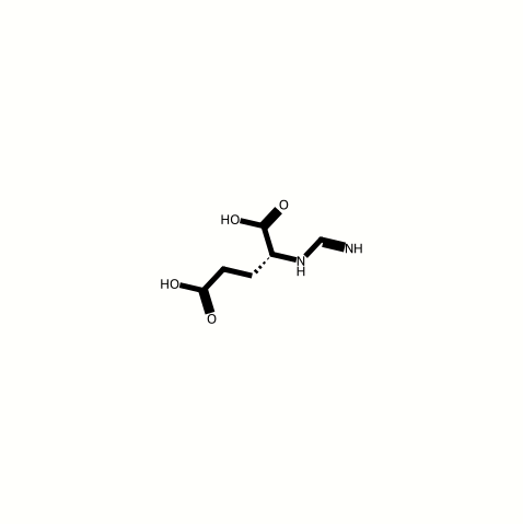 N=CN[C@H](CCC(=O)O)C(=O)O